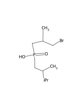 CC(CBr)CP(=O)(O)CC(C)C(C)C